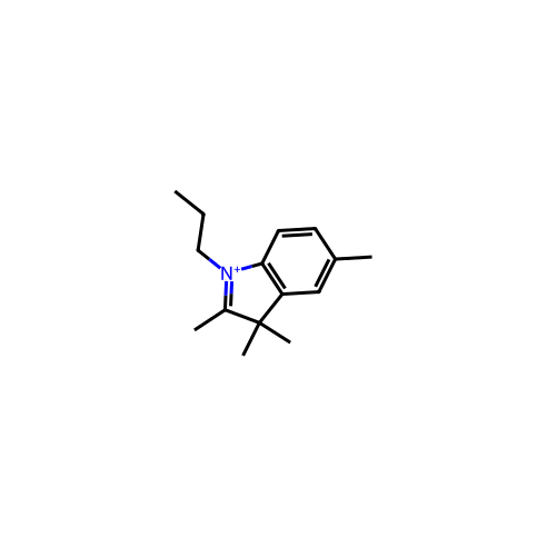 CCC[N+]1=C(C)C(C)(C)c2cc(C)ccc21